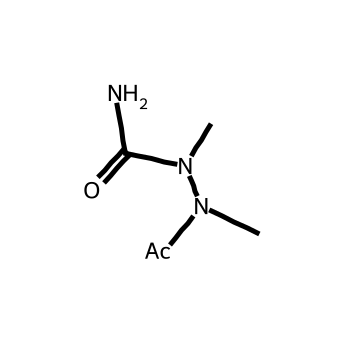 CC(=O)N(C)N(C)C(N)=O